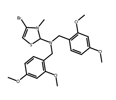 COc1ccc(CN(Cc2ccc(OC)cc2OC)C2SC=C(Br)N2C)c(OC)c1